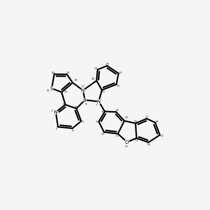 c1cnc2c(c1)B1N(c3ccc4oc5ccccc5c4c3)c3ccccc3N1c1ccsc1-2